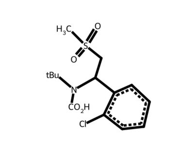 CC(C)(C)N(C(=O)O)C(CS(C)(=O)=O)c1ccccc1Cl